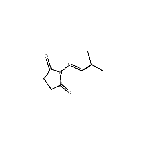 CC(C)C=NN1C(=O)CCC1=O